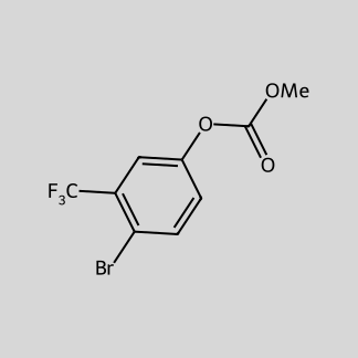 COC(=O)Oc1ccc(Br)c(C(F)(F)F)c1